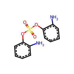 Nc1ccccc1OS(=O)(=O)Oc1ccccc1N